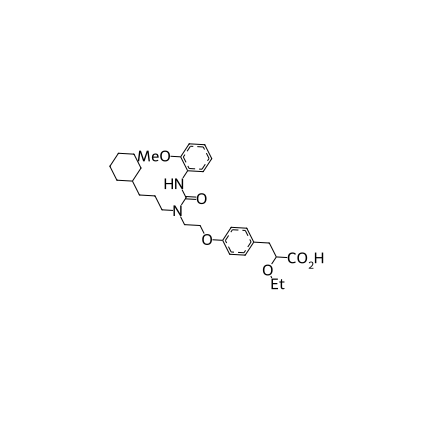 CCOC(Cc1ccc(OCCN(CCCC2CCCCC2)C(=O)Nc2ccccc2OC)cc1)C(=O)O